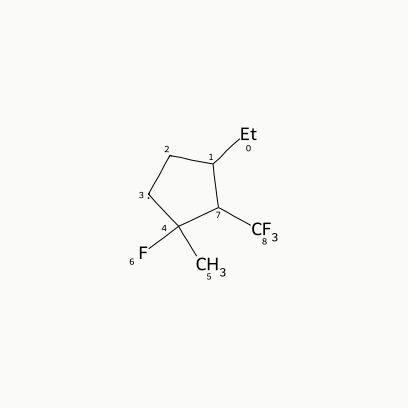 [CH2]CC1C[CH]C(C)(F)C1C(F)(F)F